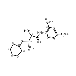 COc1ccc(NC(=O)C(O)[C@H](N)CC2CCCCC2)c(OC)c1